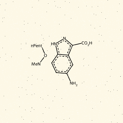 CCCCCONC.Nc1ccc2[nH]nc(C(=O)O)c2c1